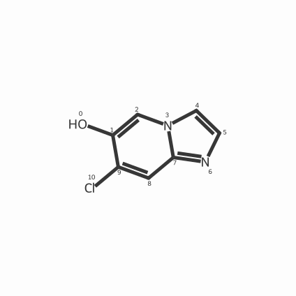 Oc1cn2ccnc2cc1Cl